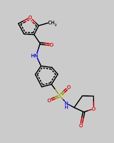 Cc1occc1C(=O)Nc1ccc(S(=O)(=O)NC2CCOC2=O)cc1